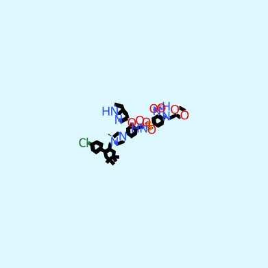 C[C@@H]1CN(c2ccc(C(=O)NS(=O)(=O)c3ccc(NCC4COCCO4)c([N+](=O)[O-])c3)c(Oc3cnc4[nH]ccc4c3)c2)CCN1CC1=C(c2ccc(Cl)cc2)CC(C)(C)C(C)(C)C1